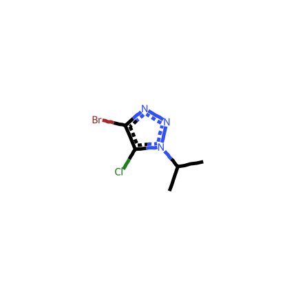 CC(C)n1nnc(Br)c1Cl